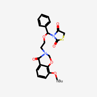 CCCCOc1cccc2c1OCN(CCOC(c1ccccc1)N1C(=O)CSC1=O)C2=O